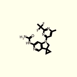 Cc1cc(N2CC3(CC3)c3cnc(NC(N)=O)cc32)nc(C(C)(F)F)n1